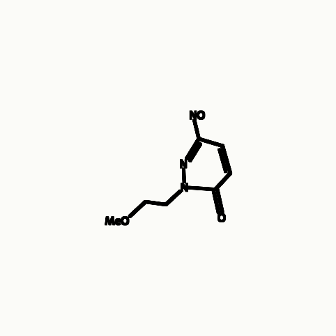 COCCn1nc(N=O)ccc1=O